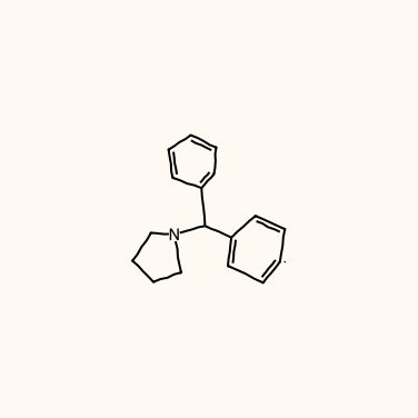 [c]1ccc(C(c2ccccc2)N2CCCC2)cc1